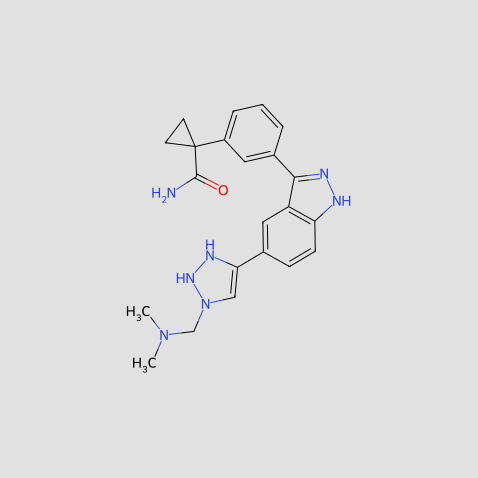 CN(C)CN1C=C(c2ccc3[nH]nc(-c4cccc(C5(C(N)=O)CC5)c4)c3c2)NN1